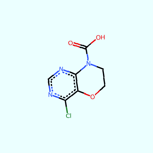 O=C(O)N1CCOc2c(Cl)ncnc21